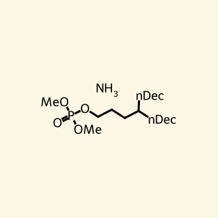 CCCCCCCCCCC(CCCCCCCCCC)CCCOP(=O)(OC)OC.N